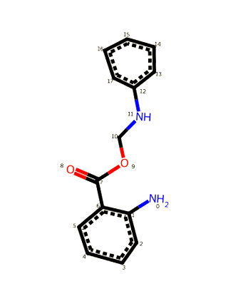 Nc1ccccc1C(=O)OCNc1ccccc1